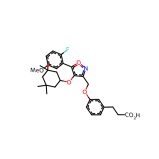 COc1ccc(F)c(-c2onc(COc3cccc(CCC(=O)O)c3)c2OC2CC(C)(C)CC(C)(C)C2)c1